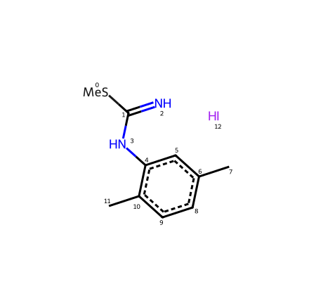 CSC(=N)Nc1cc(C)ccc1C.I